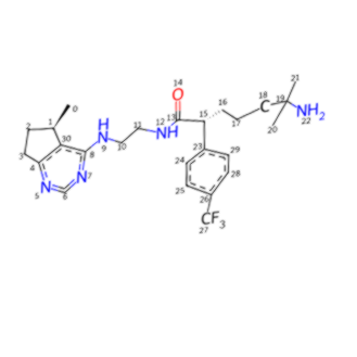 C[C@@H]1CCc2ncnc(NCCNC(=O)[C@H](CCCC(C)(C)N)c3ccc(C(F)(F)F)cc3)c21